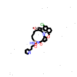 CO[C@H]1/C=C/CCCS(=O)(NC(=O)CCc2ccccn2)=NC(=O)c2ccc3c(c2)N(C[C@@H]2CC[C@H]21)C[C@@]1(CCCc2cc(Cl)ccc21)CO3